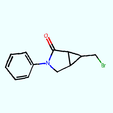 O=C1C2C(CBr)C2CN1c1ccccc1